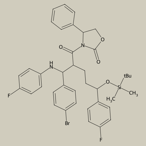 CC(C)(C)[Si](C)(C)OC(CCC(C(=O)N1C(=O)OCC1c1ccccc1)C(Nc1ccc(F)cc1)c1ccc(Br)cc1)c1ccc(F)cc1